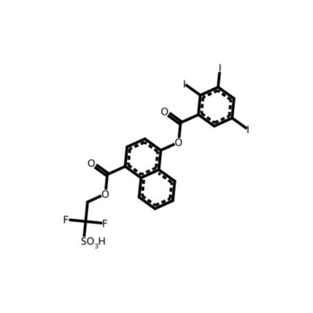 O=C(Oc1ccc(C(=O)OCC(F)(F)S(=O)(=O)O)c2ccccc12)c1cc(I)cc(I)c1I